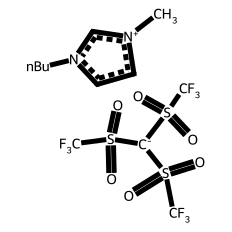 CCCCn1cc[n+](C)c1.O=S(=O)([C-](S(=O)(=O)C(F)(F)F)S(=O)(=O)C(F)(F)F)C(F)(F)F